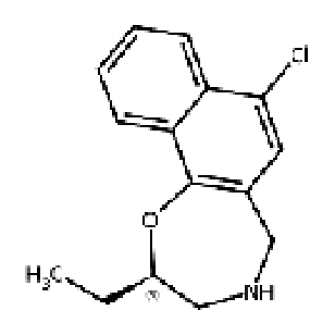 CC[C@@H]1CNCc2cc(Cl)c3ccccc3c2O1